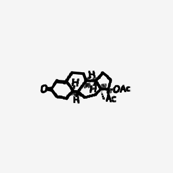 CC(=O)O[C@@]1(C(C)=O)CC[C@H]2[C@@H]3CCC4=CC(=O)CC[C@@H]4[C@H]3CC[C@@]21C